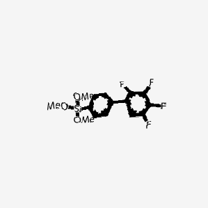 CO[Si](OC)(OC)c1ccc(-c2cc(F)c(F)c(F)c2F)cc1